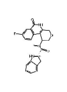 CN(C(=O)[C@@H]1Cc2ccccc2N1)C1COCc2[nH]c(=O)c3cc(F)ccc3c21